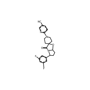 N#Cc1ccc(N2CCC3(CC2)OC2CCC(c4cc(F)cc(F)c4)N2C3=O)nc1